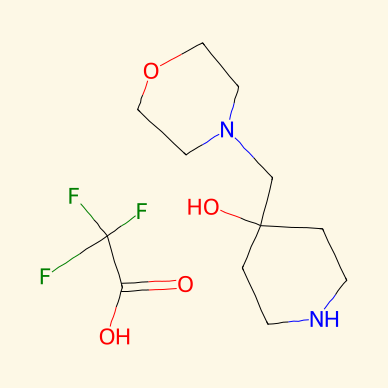 O=C(O)C(F)(F)F.OC1(CN2CCOCC2)CCNCC1